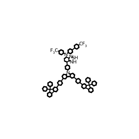 N=C1C(c2ccc(-n3c4ccc(-c5ccc(-c6ccc7c(c6)C(c6ccccc6)(c6ccccc6)c6ccccc6-7)cc5)cc4c4cc(-c5ccc(-c6ccc7c(c6)C(c6ccccc6)(c6ccccc6)c6ccccc6-7)cc5)ccc43)cc2)=CC=C(N(c2ccc(-c3ccc(C(F)(F)F)cc3)cc2)c2ccc(C(F)(F)F)cc2)/C1=N/S